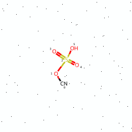 N#COS(=O)(=O)O